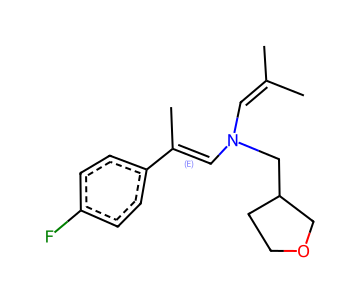 CC(C)=CN(/C=C(\C)c1ccc(F)cc1)CC1CCOC1